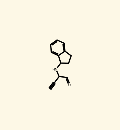 C#CC(C=O)NC1CCc2ccccc21